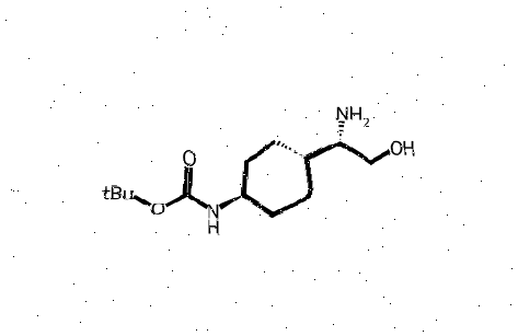 CC(C)(C)OC(=O)N[C@H]1CC[C@H]([C@H](N)CO)CC1